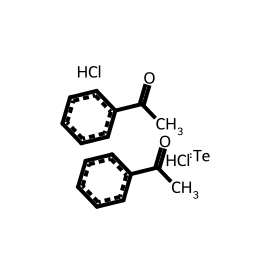 CC(=O)c1ccccc1.CC(=O)c1ccccc1.Cl.Cl.[Te]